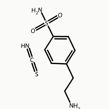 N=C=S.NCCc1ccc(S(N)(=O)=O)cc1